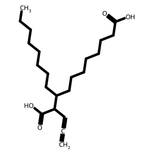 C=C=CC(C(=O)O)C(CCCCCCCC)CCCCCCCC(=O)O